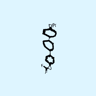 CCCC1=CCC([C@H]2CC[C@H](c3ccc(OC(F)F)cc3)CC2)CC1